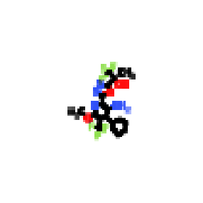 COc1nc(-c2nnc([C@](C)(O)C(F)(F)F)o2)c(N)c(-c2ccccc2)c1C(F)(F)F